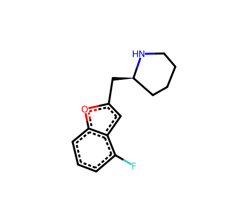 Fc1cccc2oc(C[C@@H]3CCCCN3)cc12